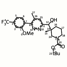 COc1cc(C(F)(F)F)ccc1-c1nnc(C(O)[C@]2(C)CCCN(C(=O)OC(C)(C)C)C2)cc1C